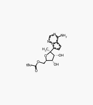 CC(C)(C)C(=O)OC[C@H]1O[C@@](C)(c2ccc3c(N)ncnn23)[C@H](O)[C@@H]1O